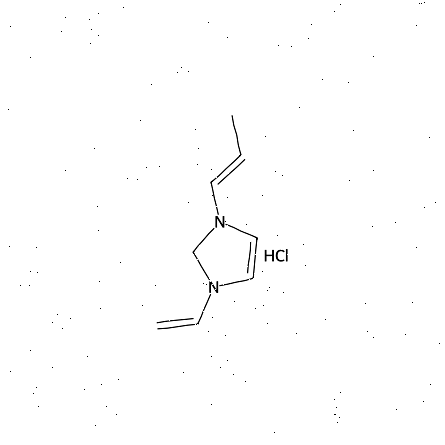 C=CN1C=CN(C=CC)C1.Cl